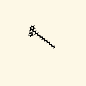 CCCCCCCCCCCCCCCCCCC(c1ccccc1C)n1ccnc1